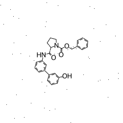 O=C(Nc1cccc(-c2cccc(O)c2)c1)C1CCCN1C(=O)OCc1ccccc1